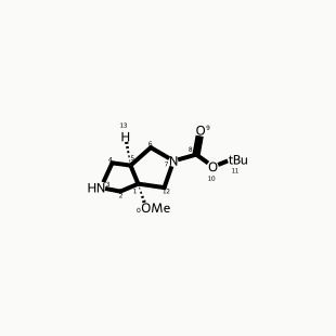 CO[C@]12CNC[C@H]1CN(C(=O)OC(C)(C)C)C2